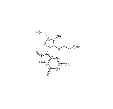 COCCOC1C(O)[C@@H](CO)O[C@H]1n1c(=O)[nH]c2c(=O)[nH]c(N)nc21